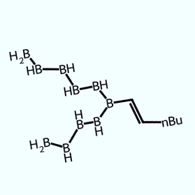 BBBBBB(BBBB)C=CCCCC